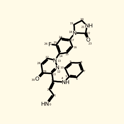 N=C/C=C(\Nc1ccccc1)c1nn(-c2ccc(N3CCNC3=O)cc2F)ccc1=O